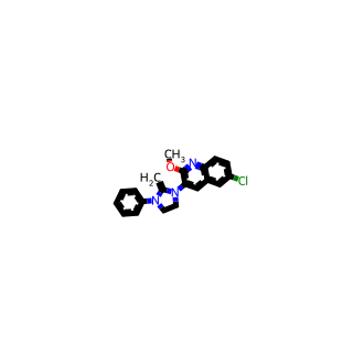 C=C1N(c2ccccc2)CCN1c1cc2cc(Cl)ccc2nc1OC